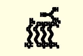 CCCOC.CCCOC.CCCOC.CCCOC.PP(S)S